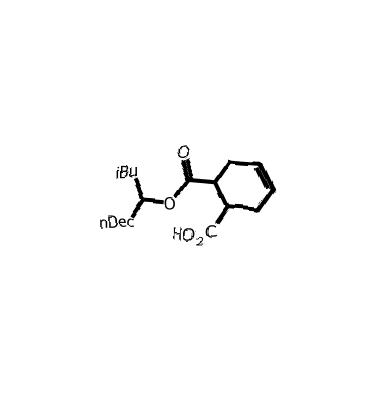 CCCCCCCCCCC(OC(=O)C1CC=CCC1C(=O)O)C(C)CC